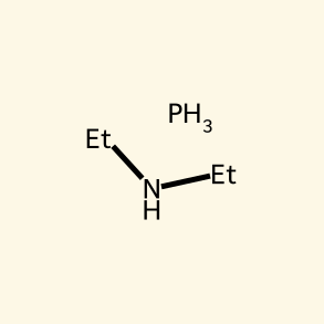 CCNCC.P